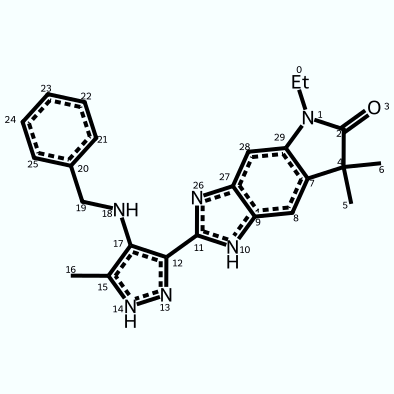 CCN1C(=O)C(C)(C)c2cc3[nH]c(-c4n[nH]c(C)c4NCc4ccccc4)nc3cc21